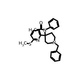 CSc1cccc(C2(N(C(C)=O)c3ccccc3)CCN(Cc3ccccc3)CC2)n1